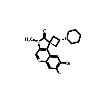 CN1c2cnc3cc(F)c(Br)cc3c2[C@]2(C[C@@H](N3CCCCC3)C2)C1=O